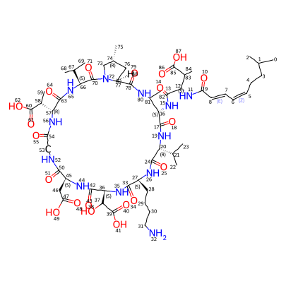 CC(C)CC/C=C\C=C\C(=O)N[C@H](C(=O)N[C@@H]1C(=O)N[C@H](C(C)C)C(=O)N[C@@H](CCCCN)C(=O)N[C@@H](C(O)C(=O)O)C(=O)N[C@@H](CC(=O)O)C(=O)NCC(=O)N[C@H](C(C)C(=O)O)C(=O)N[C@@H](C(C)C)C(=O)N2C[C@H](C)C[C@H]2C(=O)NC1C)C(C)C(=O)O